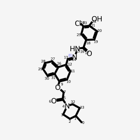 CC1CCN(C(=O)COc2ccc(/C=N/NC(=O)c3ccc(O)c(Cl)c3)c3ccccc23)CC1